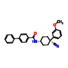 COc1cccc([C@]2(C#N)CC[C@@H](NC(=O)c3ccc(-c4ccccc4)cc3)CC2)c1